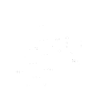 [2H]c1c2c(c([2H])c(OC)c1OC)C1CC([2H])(OC(=O)[C@@H](N)C(C)C)C(CC(C)C)CN1CC2